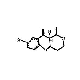 C=C1c2cc(Br)ccc2OC2CCOC(C)[C@H]12